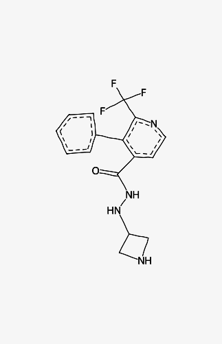 O=C(NNC1CNC1)c1ccnc(C(F)(F)F)c1-c1ccccc1